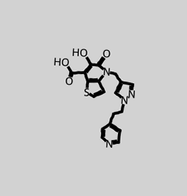 O=C(O)c1c(O)c(=O)n(Cc2cnn(CCc3ccncc3)c2)c2ccsc12